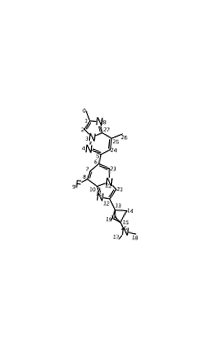 Cc1cn2nc(-c3cc(F)c4nc(C56CC(N(C)C)(C5)C6)cn4c3)cc(C)c2n1